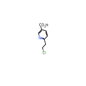 O=C(O)c1ccc(CCCl)nc1